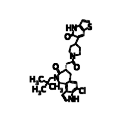 CC(C)(C)CN1Cc2c(cc(Cl)c3[nH]ccc23)C[C@@H](CC(=O)N2CCC(c3cc4sccc4[nH]c3=O)CC2)C1=O